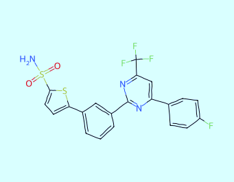 NS(=O)(=O)c1ccc(-c2cccc(-c3nc(-c4ccc(F)cc4)cc(C(F)(F)F)n3)c2)s1